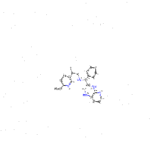 COc1ccc(C(C)CN[C@H](c2ccccc2)[C@H]2CNc3cccnc3N2)cn1